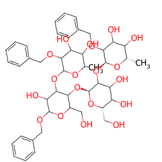 CC1OC(OC2C(O)C(OCc3ccccc3)OC(CO)C2O[C@@H]2O[C@@H](CO)C(O)C(O)C2O[C@@H]2O[C@@H](C)C(O)C(O)C2OCc2ccccc2)C(OCc2ccccc2)C(O)C1O